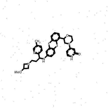 COC1CN(CCC(Nc2ccc3c(c2)Sc2cccc(C4CN(c5cc[nH]c(=O)c5)CCO4)c2S3)c2ccc(C)cn2)C1